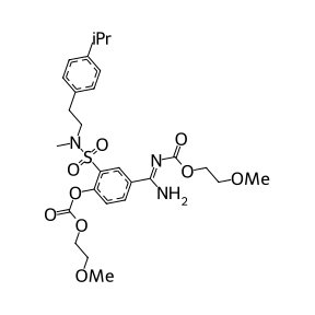 COCCOC(=O)N=C(N)c1ccc(OC(=O)OCCOC)c(S(=O)(=O)N(C)CCc2ccc(C(C)C)cc2)c1